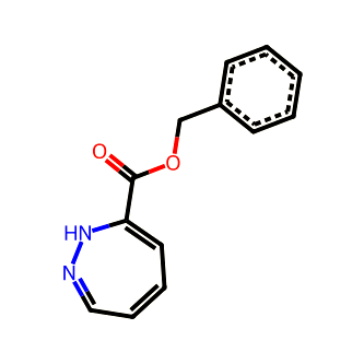 O=C(OCc1ccccc1)C1=CC=CC=NN1